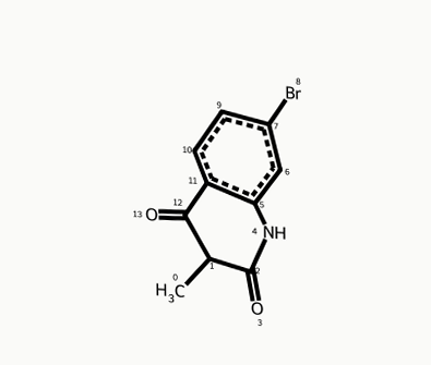 CC1C(=O)Nc2cc(Br)ccc2C1=O